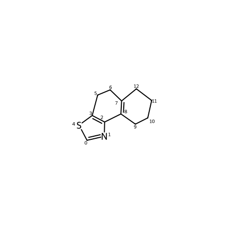 c1nc2c(s1)CCC1=C2CCCC1